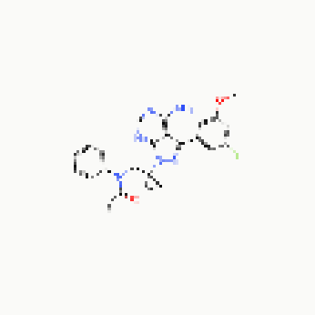 C=CC(=O)N(CC1(n2nc(-c3cc(F)cc(OC)c3)c3c(N)ncnc32)CC1)c1ccccc1